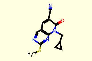 CSc1ncc2cc(C#N)c(=O)n(CC3CC3)c2n1